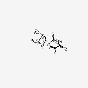 CC[C@H]1O[C@@H](n2cc(F)c(=O)[nH]c2=O)C[C@H]1O